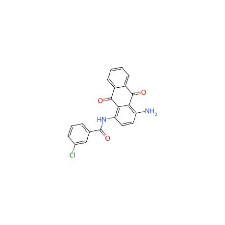 Nc1ccc(NC(=O)c2cccc(Cl)c2)c2c1C(=O)c1ccccc1C2=O